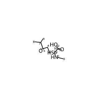 CN[Si@@H](CCC(=O)C(C)C)C(=O)O